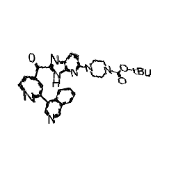 CC(C)(C)OC(=O)N1CCN(c2ccc3nc(C(=O)c4ccnc(-c5cncc6ccccc56)c4)[nH]c3n2)CC1